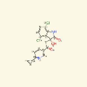 O=C(CC1(O)C(=O)Nc2c(Cl)ccc(Cl)c21)c1ccc(C2CC2)nc1